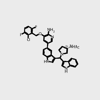 CC(=O)N[C@H]1CCN(C(c2c[nH]c3ccccc23)c2c[nH]c3ccc(-c4cnc(N)c(OCc5c(F)ccc(F)c5Cl)c4)cc23)C1